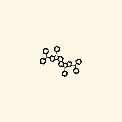 c1ccc(N(c2ccccc2)c2ccc3c4c5ccc6c(c5ccc4p(-c4ccccc4)c3c2)c2ccc(N(c3ccccc3)c3ccccc3)cc2p6-c2ccccc2)cc1